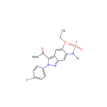 CCN(c1cc2nn(-c3ccc(F)cc3)c(C(=O)NC)c2cc1OCC#N)S(C)(=O)=O